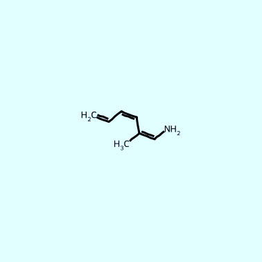 C=C/C=C\C(C)=C/N